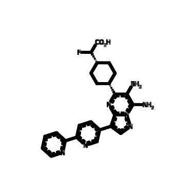 Bc1c(N)n2ncc(-c3ccc(-c4ccccn4)nc3)c2nc1[C@H]1CC[C@@H](C(F)C(=O)O)CC1